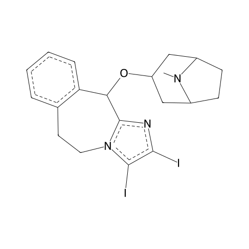 CN1C2CCC1CC(OC1c3ccccc3CCn3c1nc(I)c3I)C2